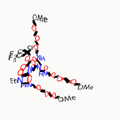 CCN(CC(=O)NCCOCCOCCOCCOC)C(=O)CN(CC(=O)N(CC(=O)NCCOCCOCCOCCOC)CC(=O)NCCOCCOCCOCCOC)C(=O)COCC(CC(F)(F)F)(CC(F)(F)F)CC(F)(F)F